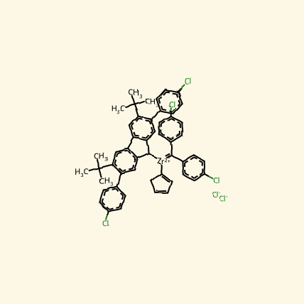 CC(C)(C)c1cc2c(cc1-c1ccc(Cl)cc1)[CH]([Zr+2]([C]1=CC=CC1)=[C](c1ccc(Cl)cc1)c1ccc(Cl)cc1)c1cc(-c3ccc(Cl)cc3)c(C(C)(C)C)cc1-2.[Cl-].[Cl-]